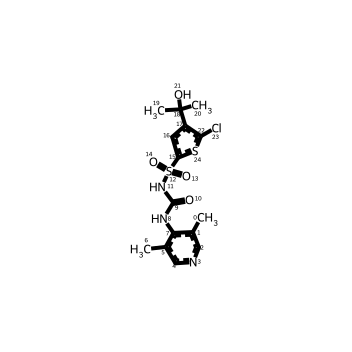 Cc1cncc(C)c1NC(=O)NS(=O)(=O)c1cc(C(C)(C)O)c(Cl)s1